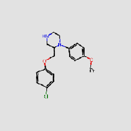 CC(C)Oc1ccc(N2CCNCC2COc2ccc(Cl)cc2)cc1